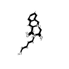 O=C1CN2Cc3ccccc3CC2C(=O)N1CCCCCl